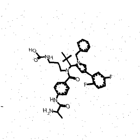 CC(N)C(=O)Nc1ccc(C(=O)N(CCCNC(=O)O)C(c2cc(-c3cc(F)ccc3F)cn2Cc2ccccc2)C(C)(C)C)cc1